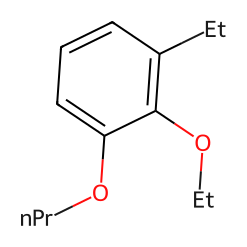 CCCOc1cccc(CC)c1OCC